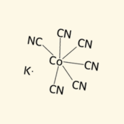 N#[C][Co]([C]#N)([C]#N)([C]#N)([C]#N)[C]#N.[K]